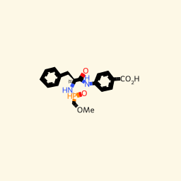 COC[PH](=O)N[C@@H](Cc1ccccc1)C(=O)Nc1ccc(C(=O)O)cc1